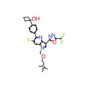 C[Si](C)(C)CCOCn1cc(-c2nnc(C(F)F)o2)c2nc(-c3ccc(C4(O)CCC4)cc3)c(F)cc21